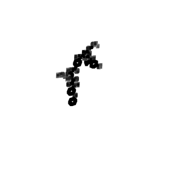 O=C(NC[C@H](NC(=O)c1ccc(Nc2nc(NC3(c4ccc(Cl)cc4)CC3)nc(OCC(F)(F)F)n2)cc1)C(=O)O)C(=O)Nc1cccc(Oc2ccccc2)c1